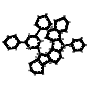 c1ccc(-c2nc(-c3ccccc3)nc(-n3c4ccccc4c4ccc5c(c6ccc7ccccc7c6n5-c5ccccc5)c43)n2)cc1